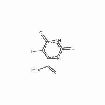 C=CCCCCCC.O=c1[nH]cc(F)c(=O)[nH]1